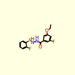 CCOc1cc(F)cc(C(=O)NNSc2ccccc2F)c1